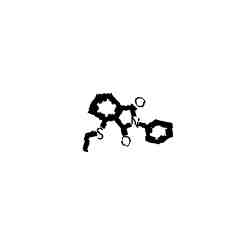 CCSc1cccc2c1C(=O)N(c1ccccc1)C2=O